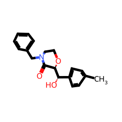 Cc1ccc([C@H](O)[C@H]2OCCN(Cc3ccccc3)C2=O)cc1